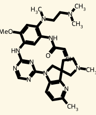 C=CC(=O)Nc1cc(Nc2ncnc(N3CC4(CCN(C)C4)c4nc(C)ccc43)n2)c(OC)cc1N(C)CCN(C)C